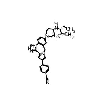 CC[C@@H](NC1CCN(c2ccc3c(c2)Cn2cc(-c4ccc(C#N)cc4)cc2-c2nncn2-3)CC1)C(C)C